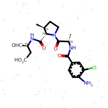 C[C@H](NC(=O)c1ccc(N)c(Cl)c1)C(=O)N1CC[C@H](C)[C@H]1C(=O)N[C@H](C=O)CC(=O)O